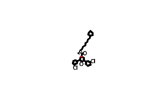 CN(CCCCCCCCc1ccccc1)C(=O)c1cc(-c2cccc(Cl)c2)c([O])c(-c2cccc(Cl)c2)c1